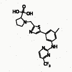 Cc1cc(Nc2nccc(C(F)(F)F)n2)cc(-c2cnc(CN3CCCC3P(=O)(O)O)s2)c1